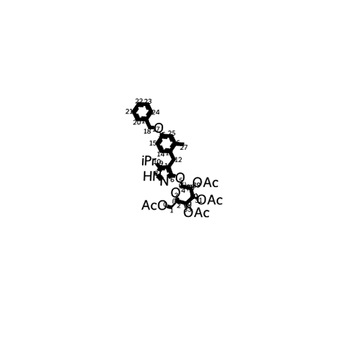 CC(=O)OC[C@H]1O[C@@H](Oc2n[nH]c(C(C)C)c2Cc2ccc(OCc3ccccc3)cc2C)[C@H](OC(C)=O)[C@@H](OC(C)=O)[C@H]1OC(C)=O